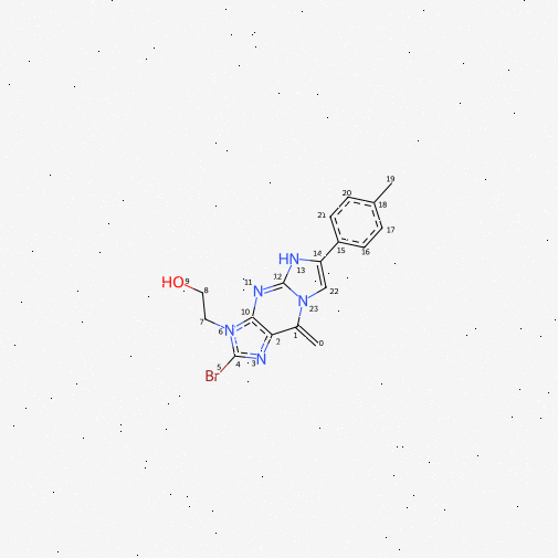 C=C1c2nc(Br)n(CCO)c2N=C2NC(c3ccc(C)cc3)=CN12